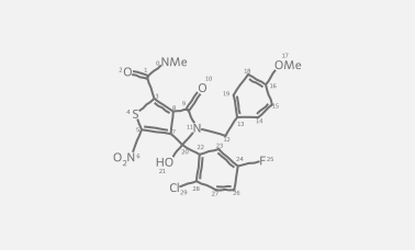 CNC(=O)c1sc([N+](=O)[O-])c2c1C(=O)N(Cc1ccc(OC)cc1)C2(O)c1cc(F)ccc1Cl